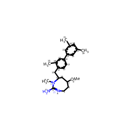 COC1CC/N=C(/N)N(C)C(Cc2ccc(-c3cc(C)cc(C)c3)cc2C)C1